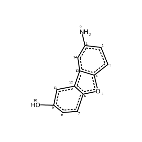 Nc1ccc2oc3ccc(O)cc3c2c1